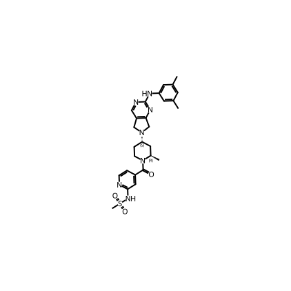 Cc1cc(C)cc(Nc2ncc3c(n2)CN([C@H]2CCN(C(=O)c4ccnc(NS(C)(=O)=O)c4)[C@H](C)C2)C3)c1